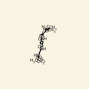 CC(C)(C)OC(=O)NCCCCNC(=O)CN1CCC(C(=O)Nc2ncc(SCc3ncc(C(C)(C)C)o3)s2)CC1